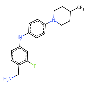 NCc1ccc(Nc2ccc(N3CCC(C(F)(F)F)CC3)cc2)cc1F